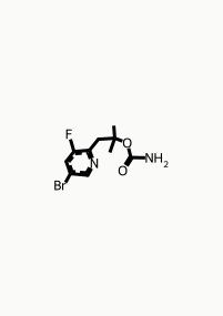 CC(C)(Cc1ncc(Br)cc1F)OC(N)=O